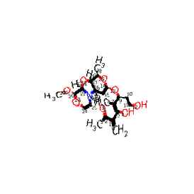 C=C(C(C)=O)/C(O)=C(\C)[C@H](CCO)O[C@H]1C[C@H]2[C@H](O[C@@H]3[C@@H](OC)OCCN32)[C@H](C)O1